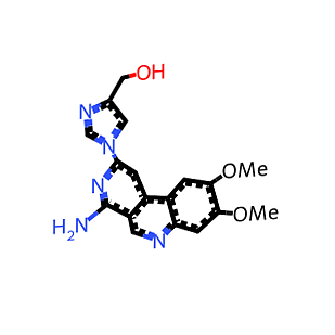 COc1cc2ncc3c(N)nc(-n4cnc(CO)c4)cc3c2cc1OC